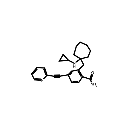 NC(=O)c1ccc(C#Cc2ccccn2)cc1CC1(NC2CC2)CCCCCC1